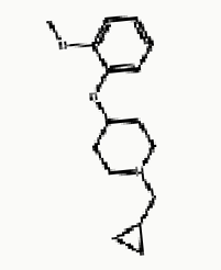 COc1ccccc1OC1CCN(CC2CC2)CC1